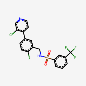 O=S(=O)(NCc1cc(-c2ccncc2Cl)ccc1F)c1cccc(C(F)(F)F)c1